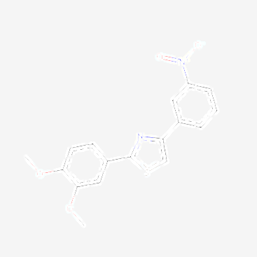 COc1ccc(-c2nc(-c3cccc([N+](=O)[O-])c3)cs2)cc1OC